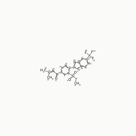 CCS(=O)(=O)c1cc(C(=O)N=S(C)C)cnc1-c1cn2cnc(C(F)(F)F)cc2n1